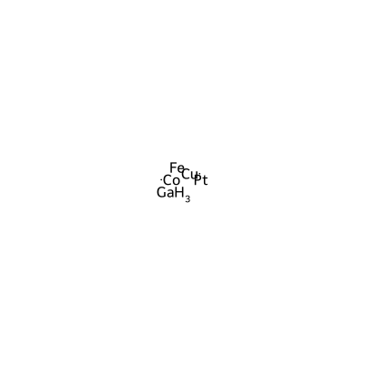 [Co].[Cu].[Fe].[GaH3].[Pt]